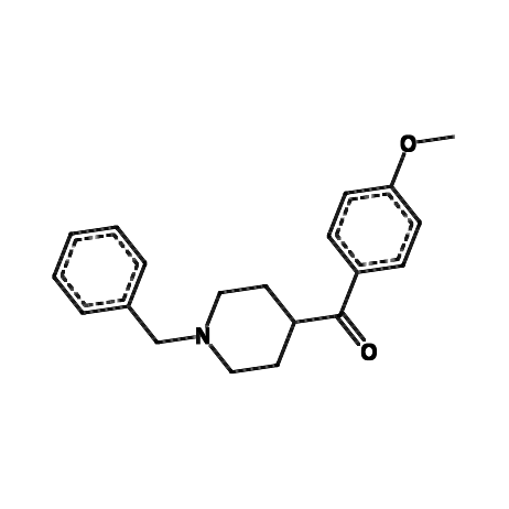 COc1ccc(C(=O)C2CCN(Cc3ccccc3)CC2)cc1